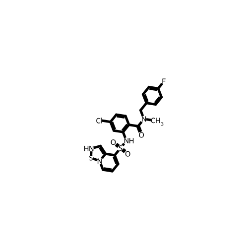 CN(Cc1ccc(F)cc1)C(=O)c1ccc(Cl)cc1NS(=O)(=O)C1=CC=CN2SNC=C12